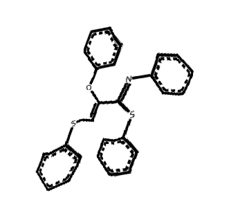 C(Sc1ccccc1)=C(Oc1ccccc1)C(=Nc1ccccc1)Sc1ccccc1